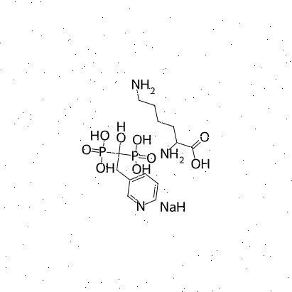 NCCCCC(N)C(=O)O.O=P(O)(O)C(O)(Cc1cccnc1)P(=O)(O)O.[NaH]